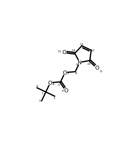 CC(C)(C)OC(=O)OCN1C(=O)C=CC1=O